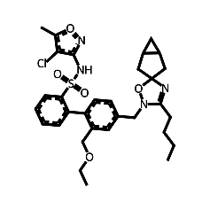 CCCCC1=NC2(CC3CC3C2)ON1Cc1ccc(-c2ccccc2S(=O)(=O)Nc2noc(C)c2Cl)c(COCC)c1